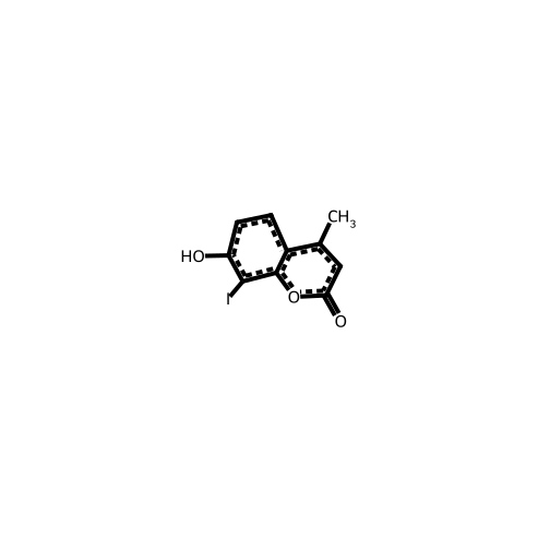 Cc1cc(=O)oc2c(I)c(O)ccc12